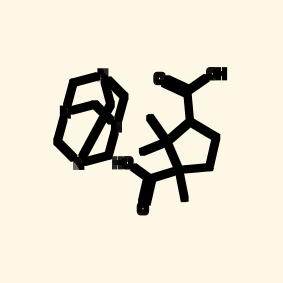 C1N2CN3CN1CN(C2)C3.CC1(C(=O)O)CCC(C(=O)O)C1(C)C